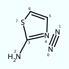 N#N.Nc1nccs1